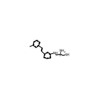 Cc1cccc(C=Cc2cccc(NC[C@@H](N)CS)c2)c1